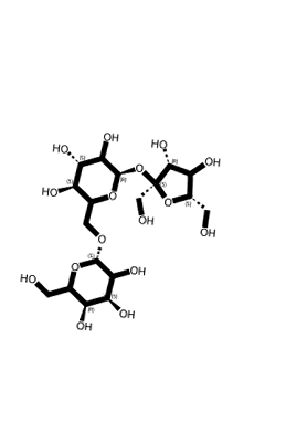 OCC1O[C@H](OCC2O[C@H](O[C@]3(CO)O[C@@H](CO)C(O)[C@H]3O)C(O)[C@@H](O)[C@@H]2O)C(O)[C@@H](O)[C@H]1O